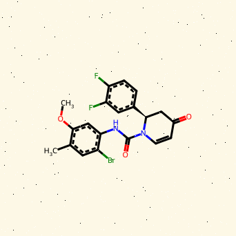 COc1cc(NC(=O)N2C=CC(=O)C[C@@H]2c2ccc(F)c(F)c2)c(Br)cc1C